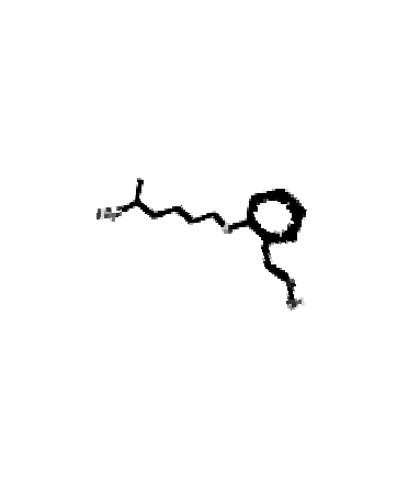 CC(CCCCOc1ccccc1C=NO)C(=O)O